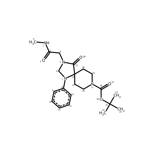 CNC(=O)CN1CN(c2ccccc2)C2(CCN(C(=O)OC(C)(C)C)CC2)C1=O